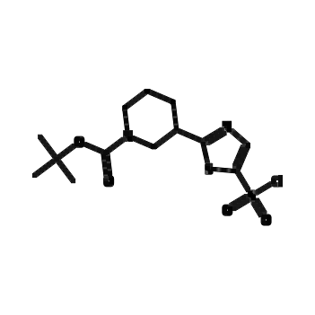 CC(C)(C)OC(=O)N1CCCC(c2ncc(S(=O)(=O)Cl)s2)C1